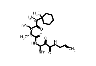 C=CCNC(=O)C(=O)C(CCC)NC(=O)[C@H](C)N(CCC)C(=O)[C@@H](N)C1(C)CCCCC1